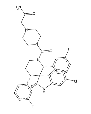 NC(=O)CN1CCN(C(=O)N2CC[C@@H](c3cccc(Cl)c3)[C@]3(C(=O)Nc4cc(Cl)ccc43)[C@H]2c2cccc(F)c2)CC1